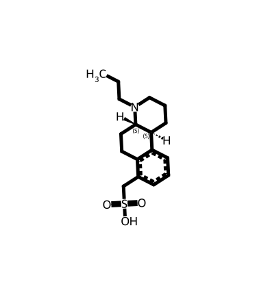 CCCN1CCC[C@H]2c3cccc(CS(=O)(=O)O)c3CC[C@@H]21